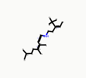 C/C=C(/CCN/C=C\C(C)=C(\C)CCC(C)C)C(C)(C)C